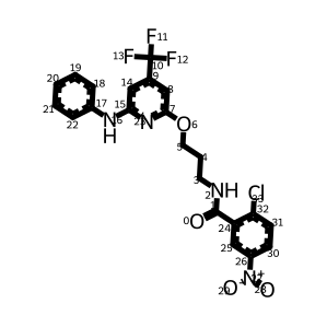 O=C(NCCCOc1cc(C(F)(F)F)cc(Nc2ccccc2)n1)c1cc([N+](=O)[O-])ccc1Cl